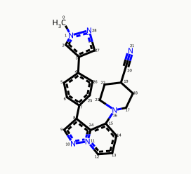 Cn1cc(-c2ccc(-c3cnn4cccc(N5CCC(C#N)CC5)c34)cc2)cn1